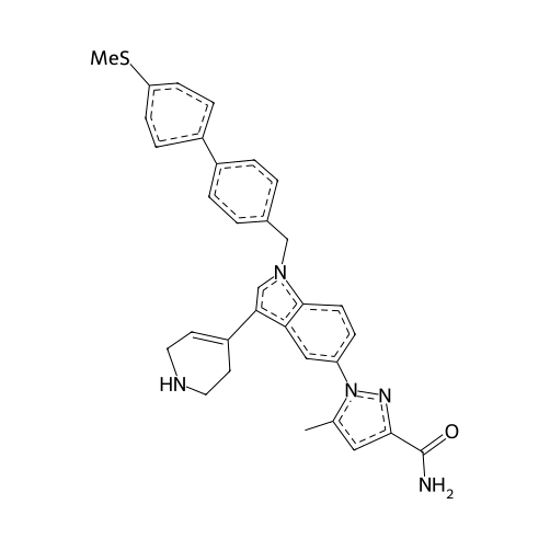 CSc1ccc(-c2ccc(Cn3cc(C4=CCNCC4)c4cc(-n5nc(C(N)=O)cc5C)ccc43)cc2)cc1